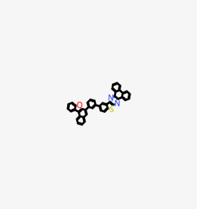 c1cc(-c2ccc3sc4nc5c6ccccc6c6ccccc6c5nc4c3c2)cc(-c2cc3ccccc3c3c2oc2ccccc23)c1